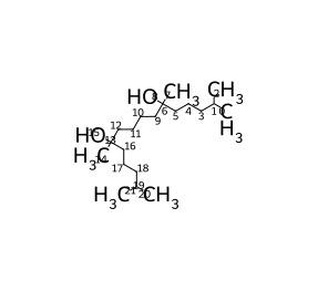 CC(C)CCCC(C)(O)CCCCC(C)(O)CCCC(C)C